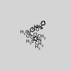 Cc1c(C)c(OCC(=O)N(C)C2CCN(CC(=O)NC3(c4ccccc4)CC3)CC2)c(Cl)c(C)c1N